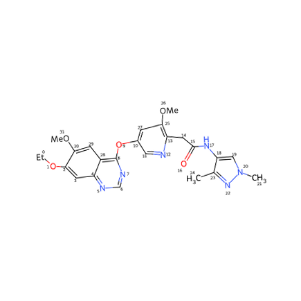 CCOc1cc2ncnc(Oc3cnc(CC(=O)Nc4cn(C)nc4C)c(OC)c3)c2cc1OC